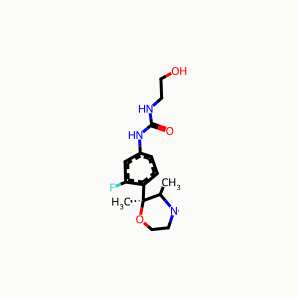 CC1[N]CCO[C@@]1(C)c1ccc(NC(=O)NCCO)cc1F